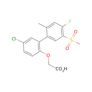 Cc1cc(F)c(S(C)(=O)=O)cc1-c1cc(Cl)ccc1OCC(=O)O